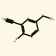 N#Cc1cc(C[O])ccc1F